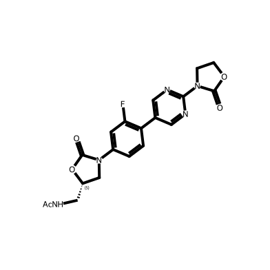 CC(=O)NC[C@H]1CN(c2ccc(-c3cnc(N4CCOC4=O)nc3)c(F)c2)C(=O)O1